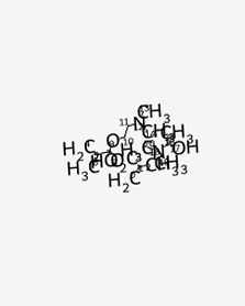 C=C(C)C(=O)O.C=C(C)C(=O)OCCN(C)C.CC(O)N(C)C